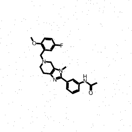 COc1ccc(F)cc1CN1CCc2nc(-c3cccc(NC(C)=O)c3)n(C)c2C1